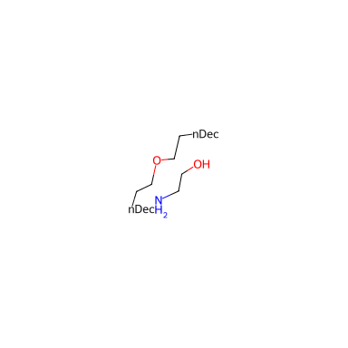 CCCCCCCCCCCCOCCCCCCCCCCCC.NCCO